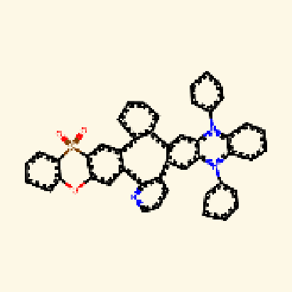 O=S1(=O)c2ccccc2Oc2cc3c(cc21)c1ccccc1c1cc2c(cc1c1cccnc13)n(-c1ccccc1)c1ccccc1n2-c1ccccc1